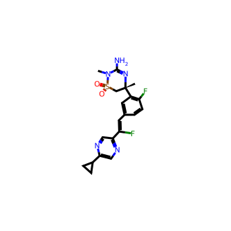 CN1C(N)=N[C@](C)(c2cc(/C=C(\F)c3cnc(C4CC4)cn3)ccc2F)CS1(=O)=O